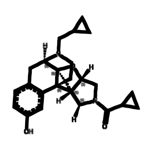 O=C(C1CC1)N1C[C@H]2O[C@@]34CC[C@@H]1[C@@H]2[C@@]31CCN(CC2CC2)[C@@H]4Cc2ccc(O)cc21